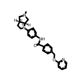 CN1C[C@H]2CCN(c3ccc(NC(=O)c4ccc(COc5ccccn5)cc4)cc3)[C@H]2C1